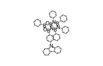 c1ccc(B2OB(c3ccc(-n4c5ccccc5c5ccccc54)cc3)N3B(O2)N(c2ccccc2)B(c2ccccc2)N(c2ccccc2)B3c2ccccc2)cc1